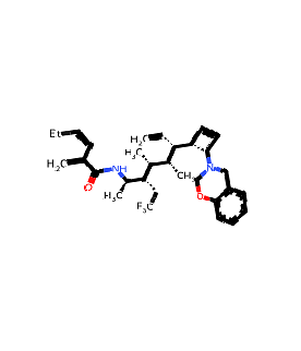 C=C[C@@H]([C@H](C)[C@@H](C)[C@H](CC(F)(F)F)[C@@H](C)NC(=O)C(=C)/C=C\CC)[C@@H]1C=CC1N1COc2ccccc2C1